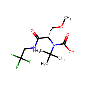 COC[C@@H](C(=O)NCC(F)(F)F)N(C(=O)O)C(C)(C)C